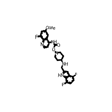 COc1cc(F)c2nccc(NC(=O)ON3CCC(NCc4cc5c(F)ccc(F)c5[nH]4)CC3)c2c1